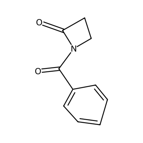 O=C1CCN1C(=O)c1ccccc1